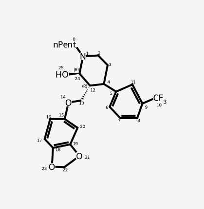 CCCCCN1CCC(c2cccc(C(F)(F)F)c2)[C@H](COc2ccc3c(c2)OCO3)[C@H]1O